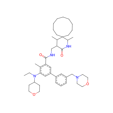 CCN(c1cc(-c2cccc(CN3CCOCC3)c2)cc(C(=O)NCC2C(=O)NC(C)C3(CCCCCCCCC3)C2C)c1C)C1CCOCC1